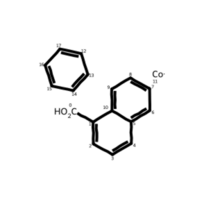 O=C(O)c1cccc2ccccc12.[Co].c1ccccc1